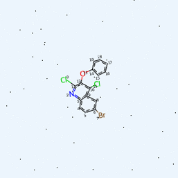 Clc1nc2ccc(Br)cc2c(Cl)c1Oc1ccccc1